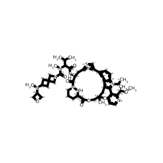 CCn1c(-c2cccnc2[C@H](C)OC)c2c3cc(ccc31)-c1csc(n1)C[C@H](NC(=O)C(C(C)C)N(C)C(=O)N1CC3(CC(N(C)C4COC4)C3)C1)C(=O)N1CCC[C@H](N1)C(=O)OCC(C)(C)C2